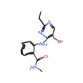 CCc1ncc(Br)c(Nc2ccccc2C(=O)NC)n1